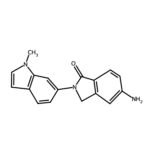 Cn1ccc2ccc(N3Cc4cc(N)ccc4C3=O)cc21